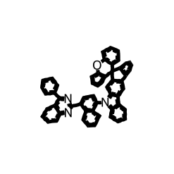 c1ccc(-c2nc(-c3ccc(-n4c5ccccc5c5cc6c(cc54)C4(c5ccccc5Oc5ccccc54)c4ccccc4-6)c4ccccc34)nc3ccccc23)cc1